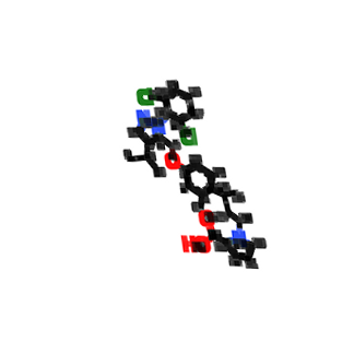 Cc1cc(OCc2c(C(C)C)cnn2-c2c(Cl)cccc2Cl)ccc1C(C)CCn1cccc1C(=O)O